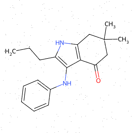 [CH2][CH]Cc1[nH]c2c(c1Nc1ccccc1)C(=O)CC(C)(C)C2